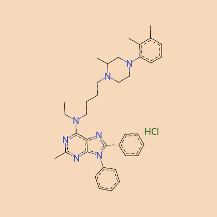 CCN(CCCCN1CCN(c2cccc(C)c2C)CC1C)c1nc(C)nc2c1nc(-c1ccccc1)n2-c1ccccc1.Cl